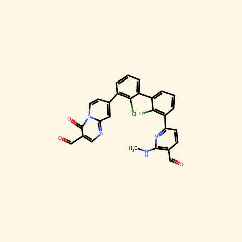 CNc1nc(-c2cccc(-c3cccc(-c4ccn5c(=O)c(C=O)cnc5c4)c3Cl)c2Cl)ccc1C=O